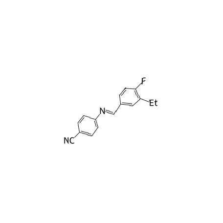 CCc1cc(C=Nc2ccc(C#N)cc2)ccc1F